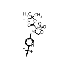 CC(C)(C)OC(=O)N1[C@@H](Cc2ccc(C(F)(F)F)nc2)COS1(=O)=O